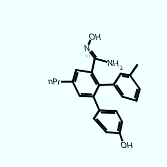 CCCc1cc(/C(N)=N/O)c(-c2cccc(C)c2)c(-c2ccc(O)cc2)c1